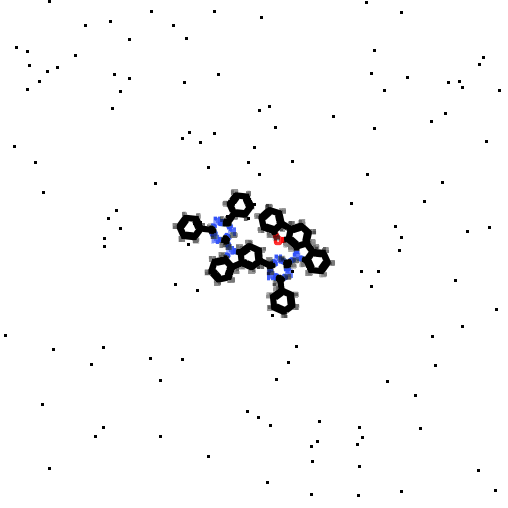 c1ccc(-c2nc(-c3ccccc3)nc(-n3c4ccccc4c4cc(-c5nc(-c6ccccc6)nc(-n6c7ccccc7c7ccc8c9ccccc9oc8c76)n5)ccc43)n2)cc1